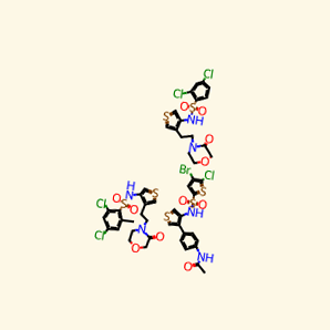 CC(=O)Nc1ccc(-c2cscc2NS(=O)(=O)c2cc(Br)c(Cl)s2)cc1.Cc1cc(Cl)cc(Cl)c1S(=O)(=O)Nc1cscc1CCN1CCOCC1=O.O=C1COCCN1CCc1cscc1NS(=O)(=O)c1ccc(Cl)cc1Cl